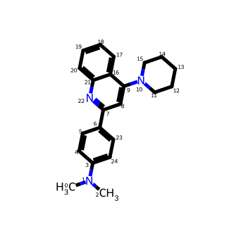 CN(C)c1ccc(-c2cc(N3[CH]CCCC3)c3ccccc3n2)cc1